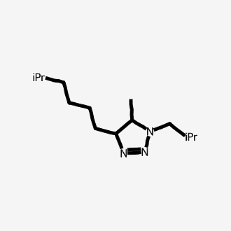 CC(C)CCCCC1N=NN(CC(C)C)C1C